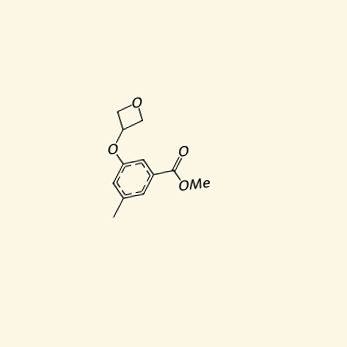 COC(=O)c1cc(C)cc(OC2COC2)c1